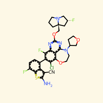 N#Cc1c(N)sc2c(F)ccc(-c3c(Cl)c4c5c(nc(OC[C@@]67CCCN6C[C@H](F)C7)nc5c3F)N(C3CCOC3)CCO4)c12